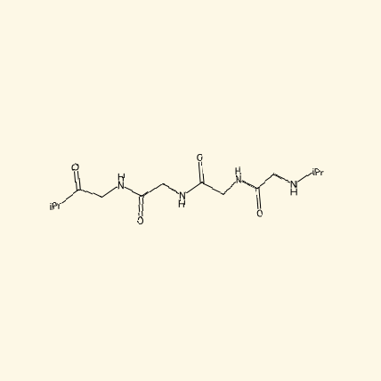 CC(C)NCC(=O)NCC(=O)NCC(=O)NCC(=O)C(C)C